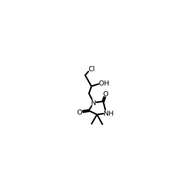 CC1(C)NC(=O)N(CC(O)CCl)C1=O